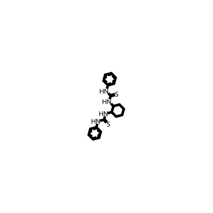 S=C(Nc1ccccc1)NC1CCCCC1NC(=S)Nc1ccccc1